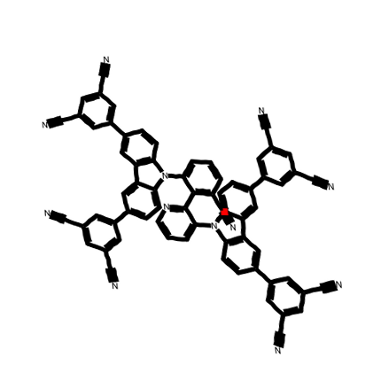 N#Cc1cc(C#N)cc(-c2ccc3c(c2)c2cc(-c4cc(C#N)cc(C#N)c4)ccc2n3-c2cccnc2-c2c(C#N)cccc2-n2c3ccc(-c4cc(C#N)cc(C#N)c4)cc3c3cc(-c4cc(C#N)cc(C#N)c4)ccc32)c1